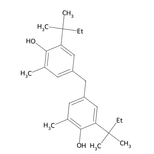 CCC(C)(C)c1cc(Cc2cc(C)c(O)c(C(C)(C)CC)c2)cc(C)c1O